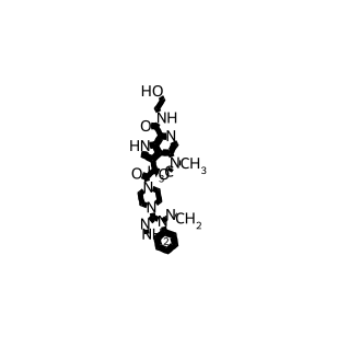 C=NN(/C(=N\N)N1CCN(C(=O)C(=O)c2c[nH]c3c(C(=O)NCCO)ncc(N(C)C)c23)CC1)c1ccccc1